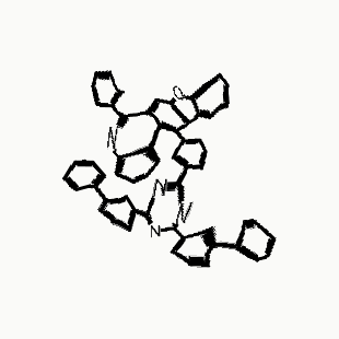 c1ccc(-c2cccc(-c3nc(-c4cccc(-c5ccccc5)c4)nc(-c4cccc(-c5c6c(cc7c(-c8ccccc8)nc8ccccc8c57)oc5ccccc56)c4)n3)c2)cc1